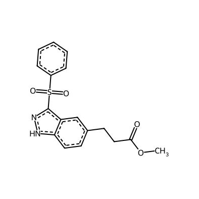 COC(=O)CCc1ccc2[nH]nc(S(=O)(=O)c3ccccc3)c2c1